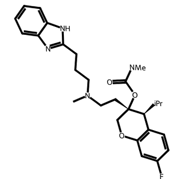 CNC(=O)O[C@@]1(CCN(C)CCCc2nc3ccccc3[nH]2)COc2cc(F)ccc2[C@@H]1C(C)C